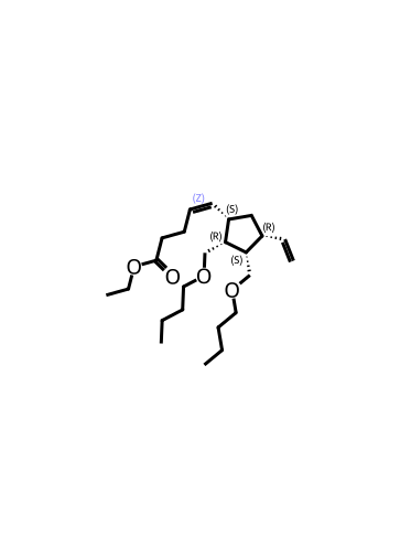 C=C[C@H]1C[C@@H](/C=C\CCC(=O)OCC)[C@@H](COCCCC)[C@H]1COCCCC